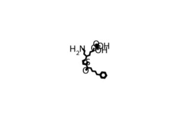 NCCC(CCCOP(=O)(O)O)c1ccc(C(=O)CCCCc2ccccc2)s1